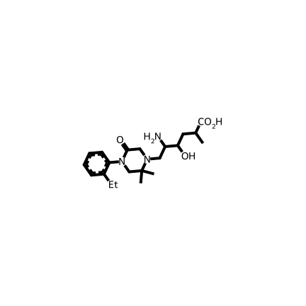 CCc1ccccc1N1CC(C)(C)N(CC(N)C(O)CC(C)C(=O)O)CC1=O